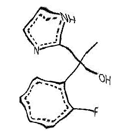 CC(O)(c1ncc[nH]1)c1ccccc1F